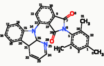 Cc1cc(C)c(N2C(=O)c3cccc(N4c5ccccc5C5C=CC=NC54)c3C2=O)c(C)c1